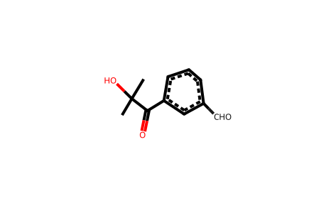 CC(C)(O)C(=O)c1cccc(C=O)c1